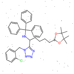 CC1(C)OB(CCCCC(NC(c2ccccc2)(c2ccccc2)c2ccccc2)c2nnnn2Cc2ccccc2Cl)OC1(C)C